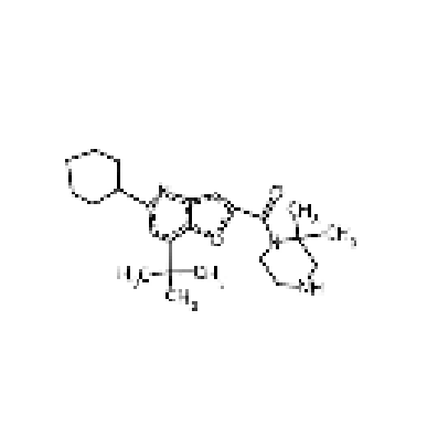 CC(C)(C)c1cc(C2CCCCC2)nc2cc(C(=O)N3CCNCC3(C)C)oc12